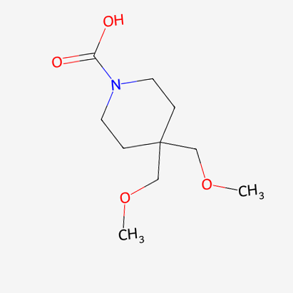 COCC1(COC)CCN(C(=O)O)CC1